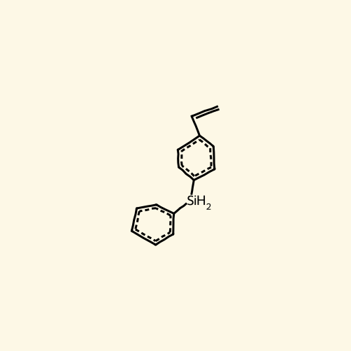 C=Cc1ccc([SiH2]c2ccccc2)cc1